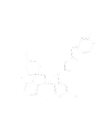 CC(C)(C)CN1CCC2(CC1)CN(c1ccc(C#N)cc1NC(=O)Nc1nc3ccc(F)cc3s1)c1c(O)ccc(Cl)c12